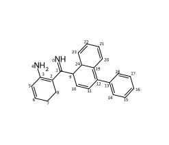 N=C(C1=C(N)C=CCC1)C1C=CC(c2ccccc2)=C2C=CC=CC21